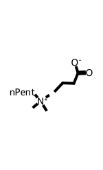 CCCC(=O)[O-].CCCCC[N+](C)(C)C